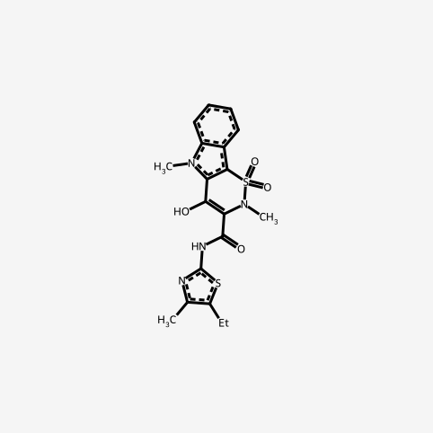 CCc1sc(NC(=O)C2=C(O)c3c(c4ccccc4n3C)S(=O)(=O)N2C)nc1C